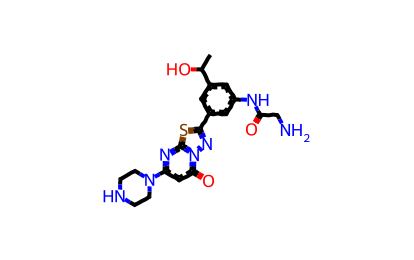 CC(O)c1cc(NC(=O)CN)cc(-c2nn3c(=O)cc(N4CCNCC4)nc3s2)c1